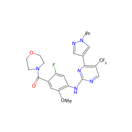 COc1cc(C(=O)N2CCOCC2)c(F)cc1Nc1ncc(C(F)(F)F)c(-c2cnn(C(C)C)c2)n1